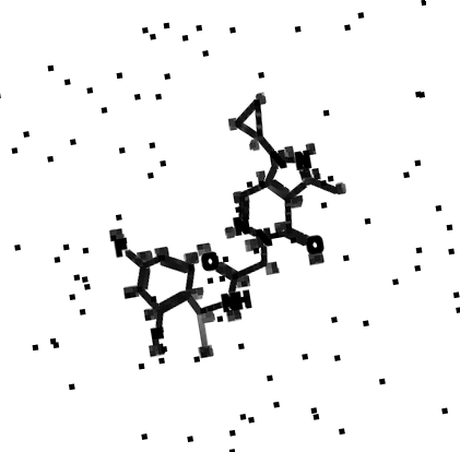 Cc1nn(C2CC2)c2cnn(CC(=O)NC(C)c3ccc(F)cc3F)c(=O)c12